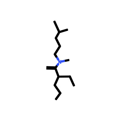 C=C(C(CC)CCC)N(C)CCCC(C)C